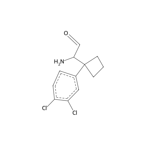 NC(C=O)C1(c2ccc(Cl)c(Cl)c2)CCC1